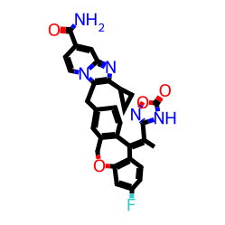 C/C(=C1/c2ccc(Cc3c(C4CC4)nc4cc(C(N)=O)ccn34)cc2COc2cc(F)ccc21)c1noc(=O)[nH]1